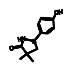 CC1(C)CN(c2ccc(O)cc2)NC1=O